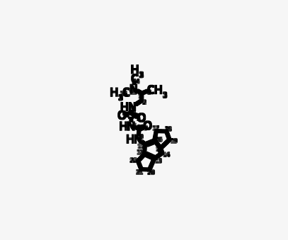 CC(CNS(=O)(=O)NC(=O)Nc1c2c(cc3c1CCC3)CCC2)N(C)C